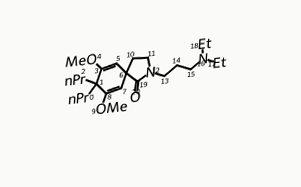 CCCC1(CCC)C(OC)=CC2(C=C1OC)CCN(CCCN(CC)CC)C2=O